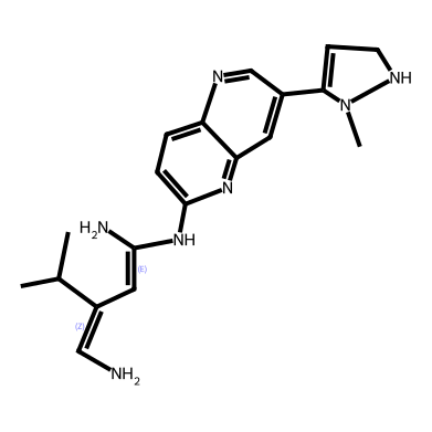 CC(C)C(=C/N)/C=C(\N)Nc1ccc2ncc(C3=CCNN3C)cc2n1